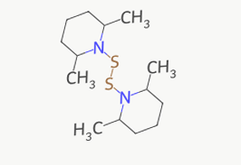 CC1CCCC(C)N1SSN1C(C)CCCC1C